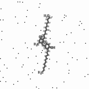 CCCCCCCCCCCCc1cc(Sc2cc(CCCCCCCCCCCC)c(O)cc2C)c(C)cc1O